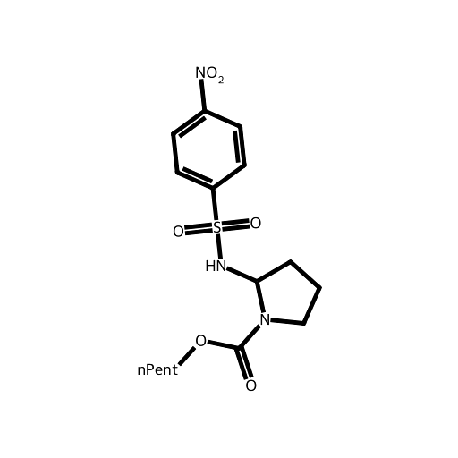 CCCCCOC(=O)N1CCCC1NS(=O)(=O)c1ccc([N+](=O)[O-])cc1